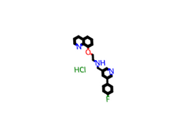 Cl.Fc1ccc(-c2cncc(CNCCOc3cccc4cccnc34)c2)cc1